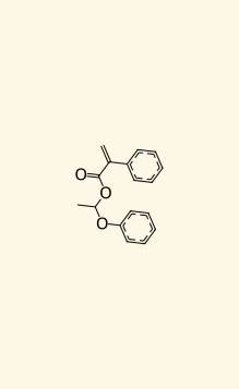 C=C(C(=O)OC(C)Oc1ccccc1)c1ccccc1